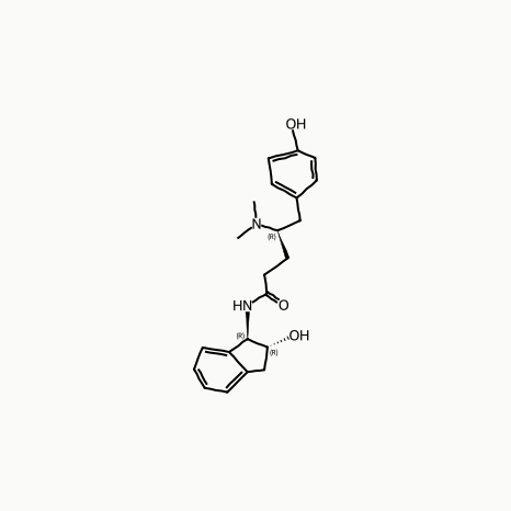 CN(C)[C@H](CCC(=O)N[C@@H]1c2ccccc2C[C@H]1O)Cc1ccc(O)cc1